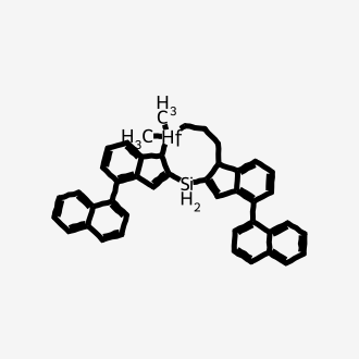 [CH3][Hf]1([CH3])[CH2]CCC2C(=Cc3c(-c4cccc5ccccc45)cccc32)[SiH2]C2=Cc3c(-c4cccc5ccccc45)cccc3[CH]21